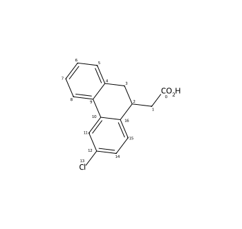 O=C(O)CC1Cc2ccccc2-c2cc(Cl)ccc21